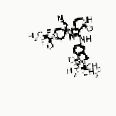 CC(F)(F)C(=O)N1CCC(CC#N)(n2nc(Nc3ccc4c(c3)CN(C(C)(C)C)S4(=O)=O)c3c(=O)[nH]ccc32)CC1